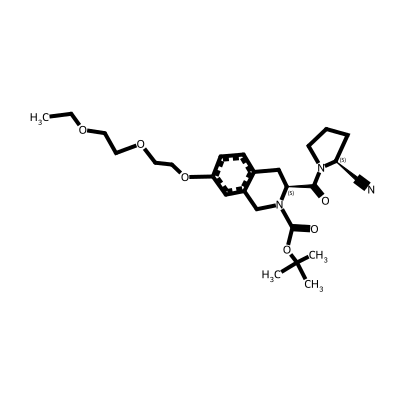 CCOCCOCCOc1ccc2c(c1)CN(C(=O)OC(C)(C)C)[C@H](C(=O)N1CCC[C@H]1C#N)C2